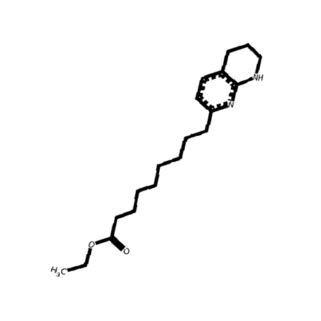 CCOC(=O)CCCCCCCCc1ccc2c(n1)NCCC2